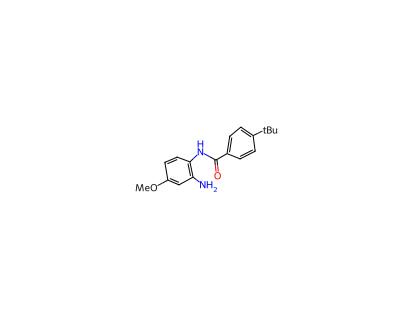 COc1ccc(NC(=O)c2ccc(C(C)(C)C)cc2)c(N)c1